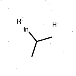 C[CH](C)[In].[H-].[H-]